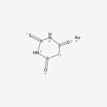 O=C1CC(=O)NC(=S)N1.[Au]